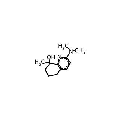 CN(C)c1ccc2c(n1)C(C)(O)CCC2